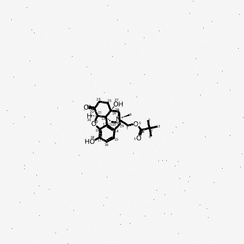 CC(C)(C)C(=O)OC[N@+]1(C)CC[C@]23c4c5ccc(O)c4O[C@H]2C(=O)CC[C@@]3(O)C1C5